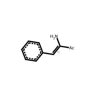 CC(=O)/C(N)=C/c1ccccc1